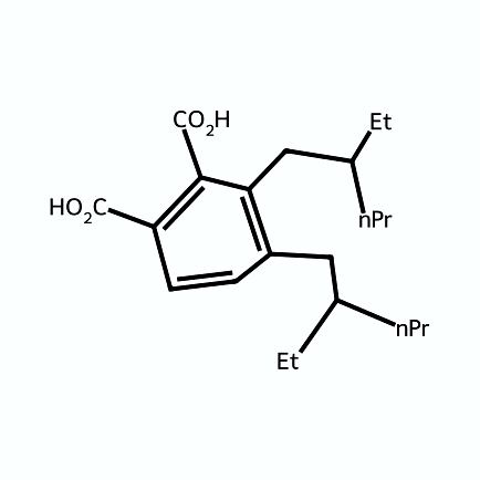 CCCC(CC)Cc1ccc(C(=O)O)c(C(=O)O)c1CC(CC)CCC